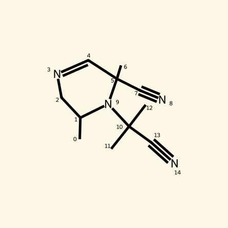 CC1CN=CC(C)(C#N)N1C(C)(C)C#N